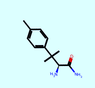 Cc1ccc(C(C)(C)[C@H](N)C(N)=O)cc1